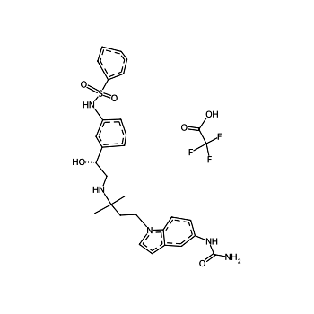 CC(C)(CCn1ccc2cc(NC(N)=O)ccc21)NC[C@H](O)c1cccc(NS(=O)(=O)c2ccccc2)c1.O=C(O)C(F)(F)F